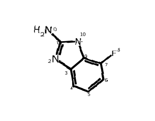 NC1=Nc2cccc(F)c2[N]1